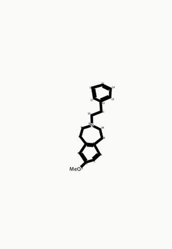 COc1ccc2c(c1)CCN(CCc1ccccc1)CC2